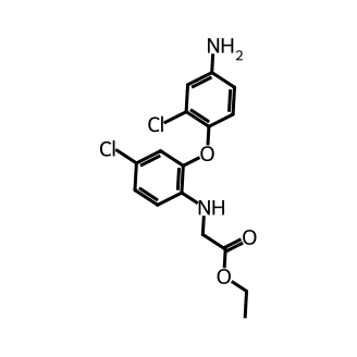 CCOC(=O)CNc1ccc(Cl)cc1Oc1ccc(N)cc1Cl